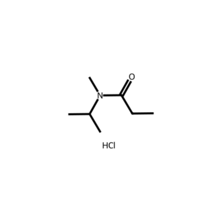 CCC(=O)N(C)C(C)C.Cl